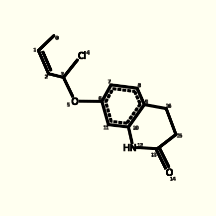 C/C=C\C(Cl)Oc1ccc2c(c1)NC(=O)CC2